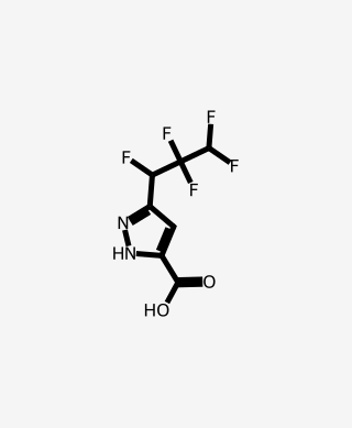 O=C(O)c1cc(C(F)C(F)(F)C(F)F)n[nH]1